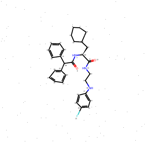 O=C(N[C@@H](CC1CCCCC1)C(=O)NCCNc1ccc(F)cc1)C(c1ccccc1)c1ccccc1